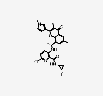 Cc1cc([C@@H](C)Nc2ccc(Cl)nc2C(=O)N[C@@H]2C[C@@H]2F)c2oc(-c3cnn(C)c3)c(C)c(=O)c2c1